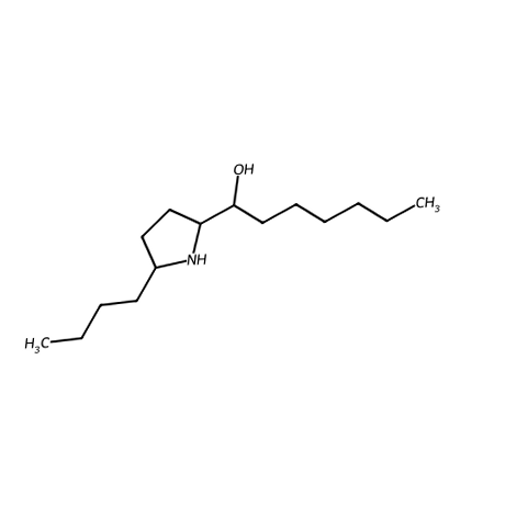 CCCCCCC(O)C1CCC(CCCC)N1